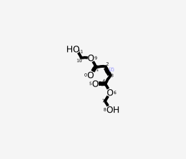 O=C(/C=C\C(=O)OCO)OCO